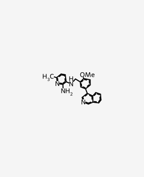 COc1ccc(-c2cncc3ccccc23)cc1CNc1ccc(C)nc1N